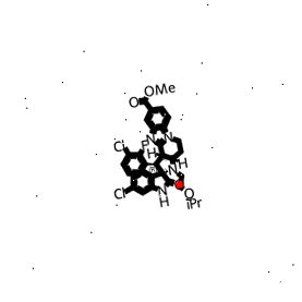 COC(=O)c1ccc2c(c1)nc1n2CC[C@H]2[C@@H]1[C@H](c1cccc(Cl)c1F)[C@]1(C(=O)Nc3cc(Cl)ccc31)N2CCOC(C)C